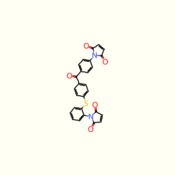 O=C(c1ccc(Sc2ccccc2N2C(=O)C=CC2=O)cc1)c1ccc(N2C(=O)C=CC2=O)cc1